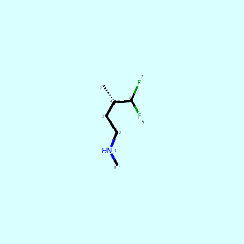 [CH2]NCC[C@H](C)C(F)F